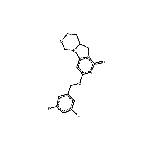 O=c1nc(OCc2cc(F)cc(F)c2)cc2n1CC1CCOCN21